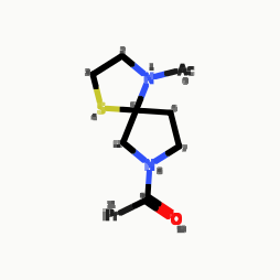 CC(=O)N1CCSC12CCN(C(=O)C(C)C)C2